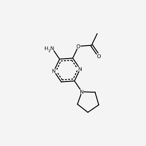 CC(=O)Oc1nc(N2CCCC2)cnc1N